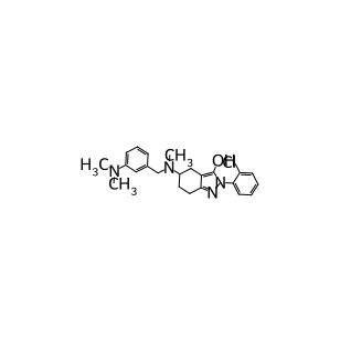 CN(C)c1cccc(CN(C)C2CCc3nn(-c4ccccc4Cl)c(O)c3C2)c1